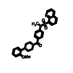 COc1ccccc1N1CCN(C(=O)c2ccc(N(C)S(=O)(=O)c3cccc4cccnc34)cc2)CC1